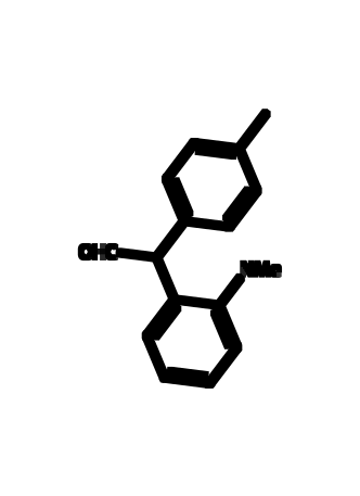 CNc1ccccc1C(C=O)c1ccc(C)cc1